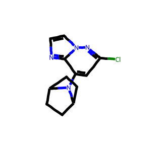 Clc1cc(N2C3CCC2CC3)c2nccn2n1